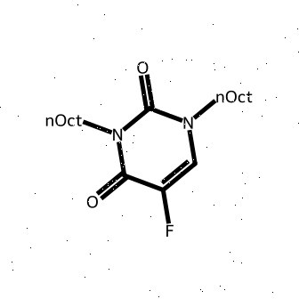 CCCCCCCCn1cc(F)c(=O)n(CCCCCCCC)c1=O